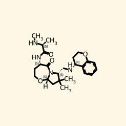 CN[C@@H](C)C(=O)N[C@H]1CCO[C@H]2CC(C)(C)[C@@H](CN[C@@H]3CCOc4ccccc43)N2C1=O